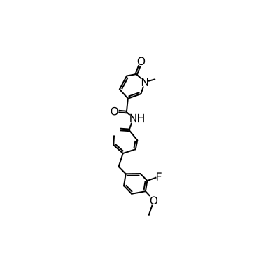 C=C(/C=C\C(=C/C)Cc1ccc(OC)c(F)c1)NC(=O)c1ccc(=O)n(C)c1